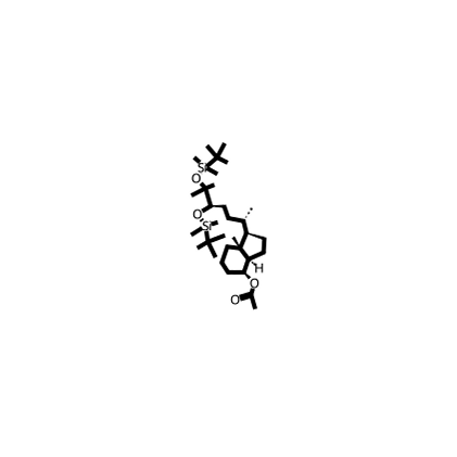 CC(=O)O[C@H]1CCC[C@]2(C)[C@@H]([C@@H](C)CC[C@@H](O[Si](C)(C)C(C)(C)C)C(C)(C)O[Si](C)(C)C(C)(C)C)CC[C@@H]12